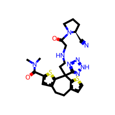 CN(C)C(=O)c1cc2c(s1)C(CCNCC(=O)N1CCC[C@H]1C#N)(c1nn[nH]n1)c1sccc1CC2